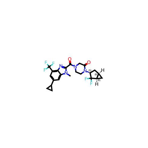 Cn1c(C(=O)N2CCN([C@H]3C[C@H]4C[C@H]4C3(F)F)C(=O)C2)nc2c(C(F)(F)F)cc(C3CC3)cc21